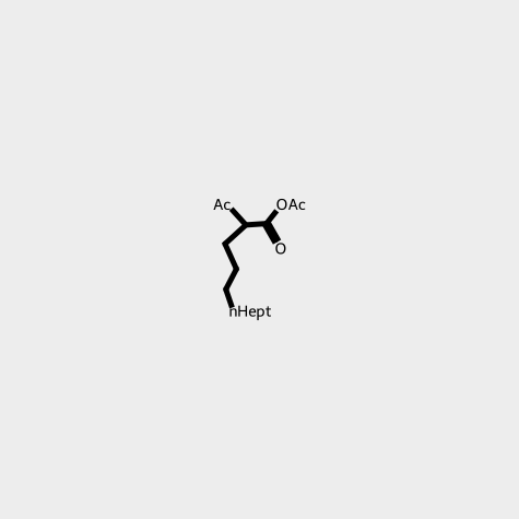 CCCCCCCCCCC(C(C)=O)C(=O)OC(C)=O